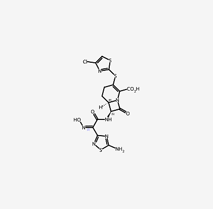 Nc1nc(/C(=N/O)C(=O)N[C@@H]2C(=O)N3C(C(=O)O)=C(Sc4nc(Cl)cs4)CC[C@H]23)ns1